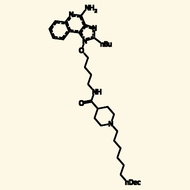 CCCCCCCCCCCCCCCCN1CCC(C(=O)NCCCCOn2c(CCCC)nc3c(N)nc4ccccc4c32)CC1